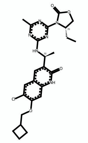 CC[C@H]1COC(=O)N1c1nc(C)nc(N[C@@H](C)c2cc3cc(Cl)c(OCC4CCC4)cc3[nH]c2=O)n1